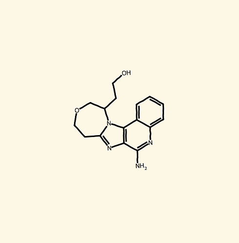 Nc1nc2ccccc2c2c1nc1n2C(CCO)COCC1